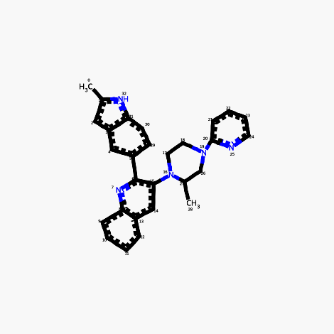 Cc1cc2cc(-c3nc4ccccc4cc3N3CCN(c4ccccn4)CC3C)ccc2[nH]1